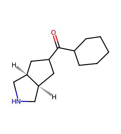 O=C(C1CCCCC1)C1C[C@H]2CNC[C@H]2C1